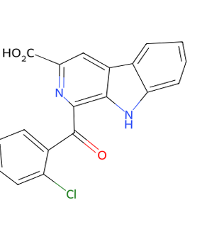 O=C(O)c1cc2c([nH]c3ccccc32)c(C(=O)c2ccccc2Cl)n1